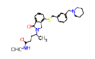 CC(CCC(=O)NC=O)N1Cc2c(SCc3cccc(CN4CCCCC4)c3)cccc2C1=O